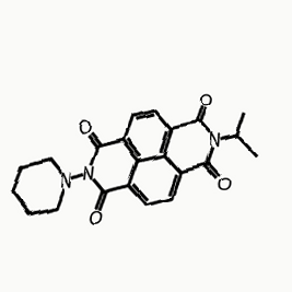 CC(C)N1C(=O)c2ccc3c4c(ccc(c24)C1=O)C(=O)N(N1CCCCC1)C3=O